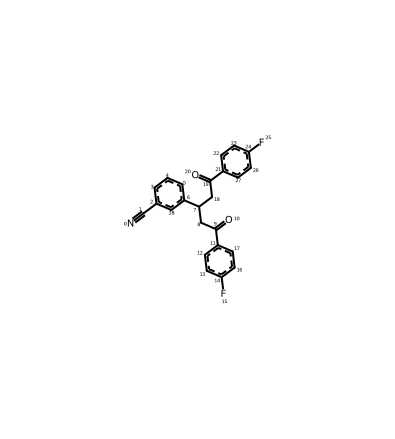 N#Cc1cccc(C(CC(=O)c2ccc(F)cc2)CC(=O)c2ccc(F)cc2)c1